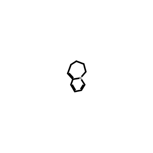 C1=CC2=CCCCCN2C=C1